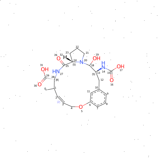 CC1/C=C\COc2cccc(c2)C[C@H](NC(=O)O)C(O)N2CCC[C@H]2C(=O)N[C@H]1C(=O)O